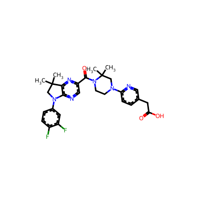 CC1(C)CN(c2ccc(F)c(F)c2)c2ncc(C(=O)N3CCN(c4ccc(CC(=O)O)cn4)CC3(C)C)nc21